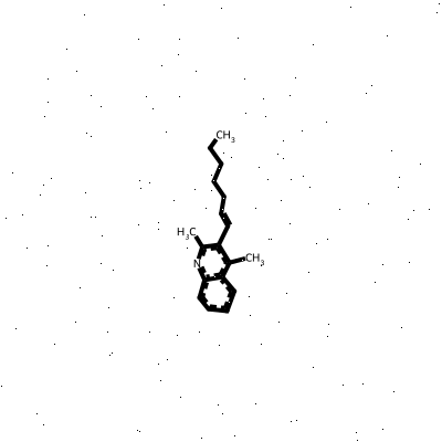 CCCCCC=Cc1c(C)nc2ccccc2c1C